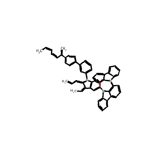 C=C/C=c1\c(=C/C)c2cc(-n3c4ccccc4c4cccc(-n5c6ccccc6c6ccccc65)c43)ccc2n1-c1cccc(-c2ccc(C(=C)/C=C\C=C/C)cc2)c1